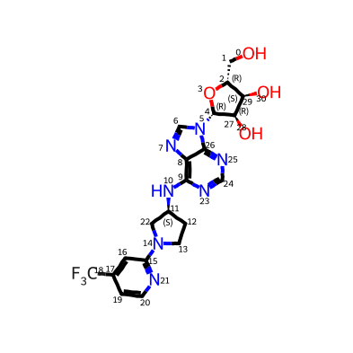 OC[C@H]1O[C@@H](n2cnc3c(N[C@H]4CCN(c5cc(C(F)(F)F)ccn5)C4)ncnc32)[C@H](O)[C@@H]1O